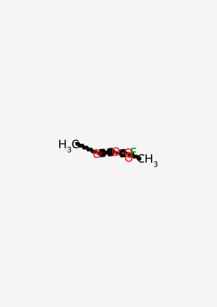 CCCCCCCCCCOc1ccc(-c2ccc(OC[C@H]3CC[C@H](OC(=O)[C@@H](F)CCCC)CC3)cc2)cc1